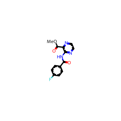 COC(=O)c1nccnc1NC(=O)c1ccc(F)cc1